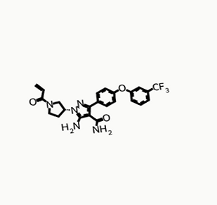 C=CC(=O)N1CC[C@@H](n2nc(-c3ccc(Oc4cccc(C(F)(F)F)c4)cc3)c(C(N)=O)c2N)C1